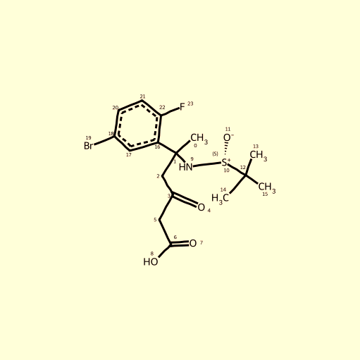 CC(CC(=O)CC(=O)O)(N[S@+]([O-])C(C)(C)C)c1cc(Br)ccc1F